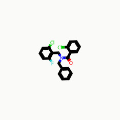 O=C(c1ccccc1Cl)N(Cc1ccccc1)Cc1c(F)cccc1Cl